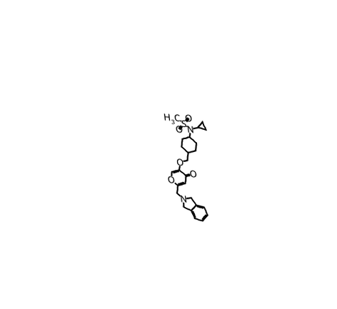 CS(=O)(=O)N(C1CCC(COc2coc(CN3Cc4ccccc4C3)cc2=O)CC1)C1CC1